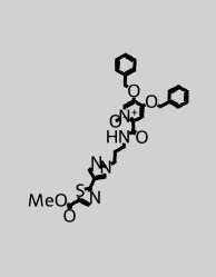 COC(=O)c1cnc(-c2cnn(CCCNC(=O)c3cc(OCc4ccccc4)c(OCc4ccccc4)c[n+]3[O-])c2)s1